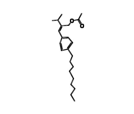 CCCCCCCCCc1ccc(C=C(COC(C)=O)C(C)C)cc1